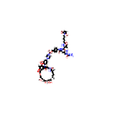 CO[C@H]1/C=C/O[C@@]2(C)Oc3c(C)c(O)c4c(=O)c(c5sc6cc(N7CCN(C(=O)OCc8ccc(NC(=O)[C@H](CCCNC(N)=O)NC(=O)C(NC(=O)CCCCCN9C(=O)C=CC9=O)C(C)C)cc8)CC7)cc(O)c6nc-5c4c3C2=O)NC(=O)/C(C)=C\C=C\[C@H](C)C[C@@H](C)[C@@H](O)[C@@H](C)[C@H](O)[C@@H]1C